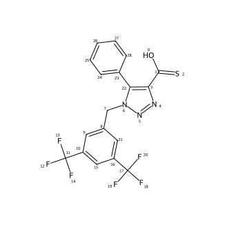 OC(=S)c1nnn(Cc2cc(C(F)(F)F)cc(C(F)(F)F)c2)c1-c1ccccc1